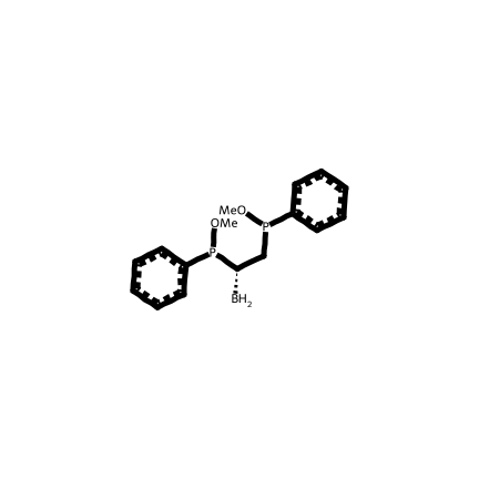 B[C@@H](CP(OC)c1ccccc1)P(OC)c1ccccc1